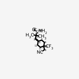 CC(C)(C=C1CCC(CC#N)(C(F)(F)F)CC1)[S+](N)[O-]